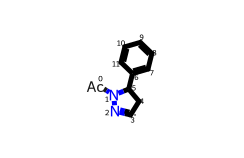 CC(=O)N1N=[C]CC1c1ccccc1